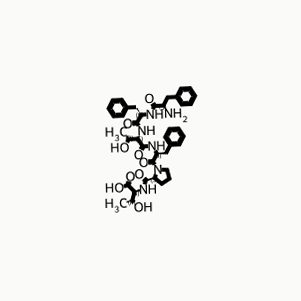 C[C@@H](O)[C@H](NC(=O)[C@@H]1CCCN1C(=O)[C@H](Cc1ccccc1)NC(=O)[C@@H](NC(=O)[C@H](Cc1ccccc1)NC(=O)[C@@H](N)Cc1ccccc1)[C@@H](C)O)C(=O)O